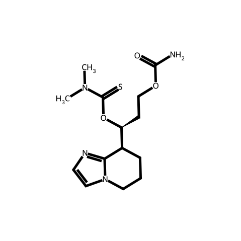 CN(C)C(=S)O[C@@H](CCOC(N)=O)C1CCCn2ccnc21